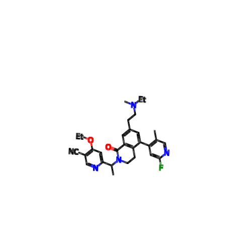 CCOc1cc(C(C)N2CCc3c(cc(CCN(C)CC)cc3-c3cc(F)ncc3C)C2=O)ncc1C#N